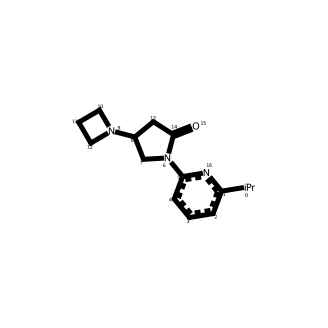 CC(C)c1cccc(N2CC(N3CCC3)CC2=O)n1